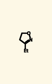 [CH2]CC1=NOCC1